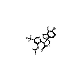 O=C1OC[C@]2(CCc3c2ccc(Br)c3F)N1c1ncc(C(F)(F)F)cc1OC(F)F